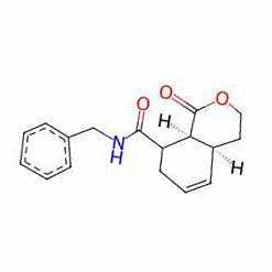 O=C(NCc1ccccc1)C1CC=C[C@@H]2CCOC(=O)[C@H]12